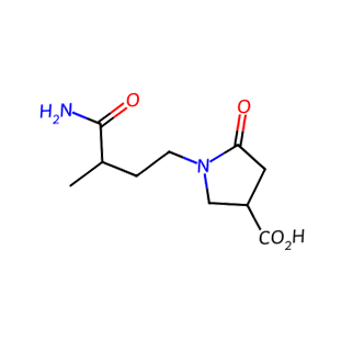 CC(CCN1CC(C(=O)O)CC1=O)C(N)=O